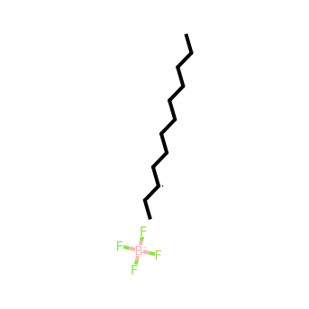 CC[CH]CCCCCCCCC.F[B-](F)(F)F